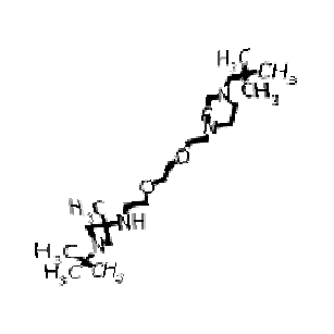 CC(C)(C)CN1CCN(CCOCCOCCNC2(C)CN(C(C)(C)C)C2)CC1